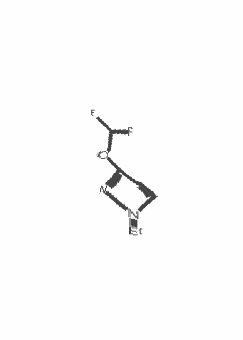 CCn1ccc(OC(F)F)n1